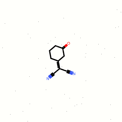 N#CC(C#N)=C1CCCC(=O)C1